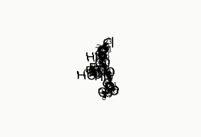 CC(=O)Oc1coc(CNC(=O)C2CN(S(=O)(=O)c3cc4cc(Cl)ccc4[nH]3)CCN2)cc1=O.O=C(O)C(F)(F)F